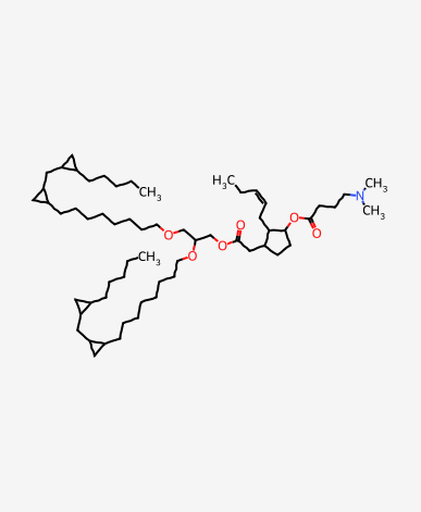 CC/C=C\CC1C(CC(=O)OCC(COCCCCCCCCC2CC2CC2CC2CCCCC)OCCCCCCCCC2CC2CC2CC2CCCCC)CCC1OC(=O)CCCN(C)C